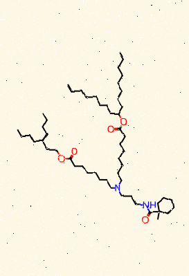 CCCCCCCCC(CCCCCCCC)OC(=O)CCCCCCCN(CCCCCCCC(=O)OCCC(CCCC)CCCC)CCCNC(=O)C1(C)CCCCC1